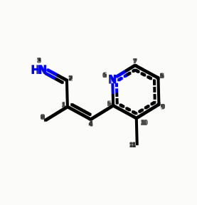 C/C(C=N)=C/c1ncccc1C